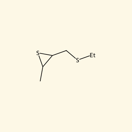 CCSCC1SC1C